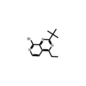 CCc1nc(C(C)(C)C)nc2c(Br)nccc12